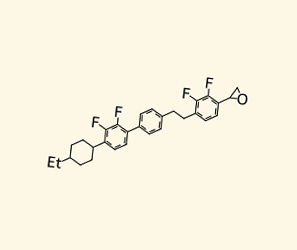 CCC1CCC(c2ccc(-c3ccc(CCc4ccc(C5CO5)c(F)c4F)cc3)c(F)c2F)CC1